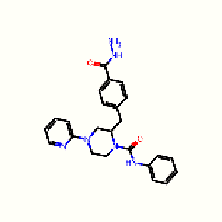 NNC(=O)c1ccc(CC2CN(c3ccccn3)CCN2C(=O)Nc2ccccc2)cc1